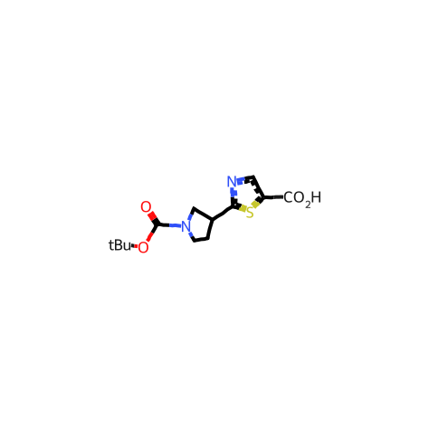 CC(C)(C)OC(=O)N1CCC(c2ncc(C(=O)O)s2)C1